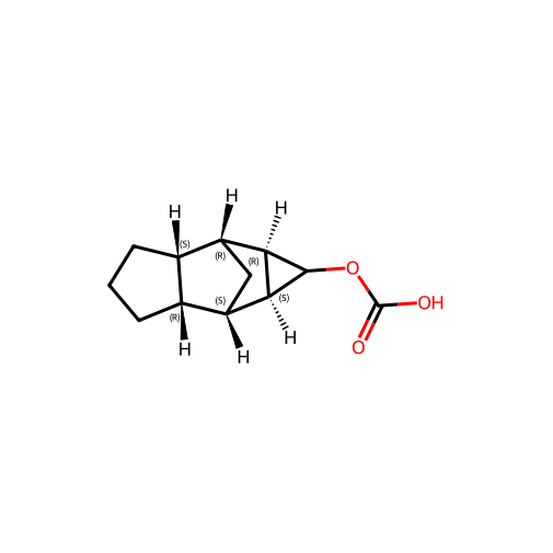 O=C(O)OC1[C@@H]2[C@@H]3C[C@@H]([C@@H]4CCC[C@@H]43)[C@H]12